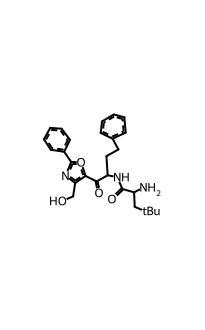 CC(C)(C)CC(N)C(=O)NC(CCc1ccccc1)C(=O)c1oc(-c2ccccc2)nc1CO